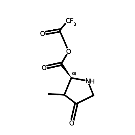 CC1C(=O)CN[C@@H]1C(=O)OC(=O)C(F)(F)F